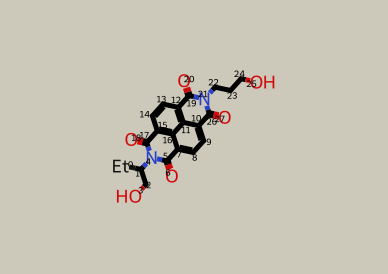 CCC(CO)N1C(=O)c2ccc3c4c(ccc(c24)C1=O)C(=O)N(CCCO)C3=O